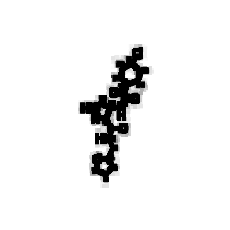 O=C(NCc1ccco1)c1n[nH]cc1NS(=O)(=O)c1ccc(Cl)cc1